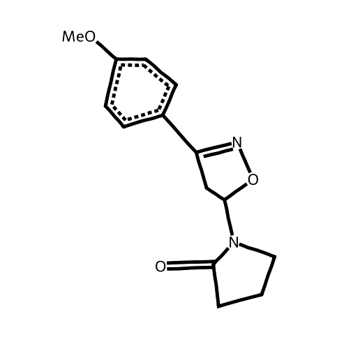 COc1ccc(C2=NOC(N3CCCC3=O)C2)cc1